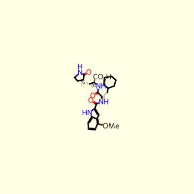 COc1cccc2[nH]c(C(=O)N[C@@H](CC3CCCCC3)C(=O)N[C@@H](C[C@@H]3CCNC3=O)C(=O)O)cc12